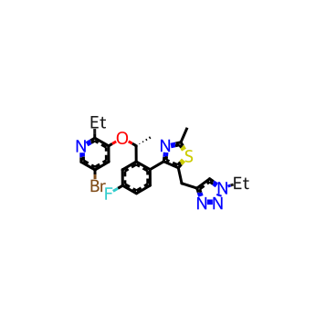 CCc1ncc(Br)cc1O[C@H](C)c1cc(F)ccc1-c1nc(C)sc1Cc1cn(CC)nn1